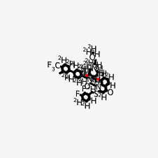 [2H]c1c([2H])c(F)c(F)c(CSc2c([2H])c(=O)c3c([2H])c([2H])c([2H])c([2H])c3n2C([2H])([2H])C(=O)N(C([2H])([2H])c2c([2H])c([2H])c(-c3c([2H])c([2H])c(C(F)(F)F)c(C)c3[2H])c([2H])c2[2H])C2([2H])C([2H])([2H])C([2H])([2H])N(C([2H])([2H])COC([2H])([2H])[2H])C([2H])([2H])C2([2H])[2H])c1[2H]